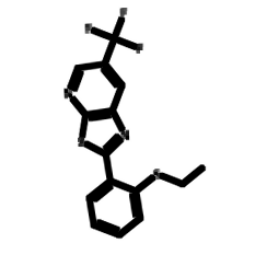 CCSc1ccccc1-c1nc2cc(C(F)(F)F)cnc2s1